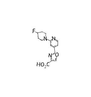 O=C(O)c1coc(-c2ccnc(N3CCC(F)CC3)c2)n1